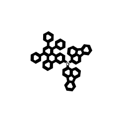 c1ccc(-c2cc(-c3ccccc3)c3c4ccccc4c4cc(N(c5ccc6c7c(cccc57)-c5ccccc5-6)c5ccc6c7c(cccc57)-c5ccccc5-6)ccc4c3c2-c2ccccc2)cc1